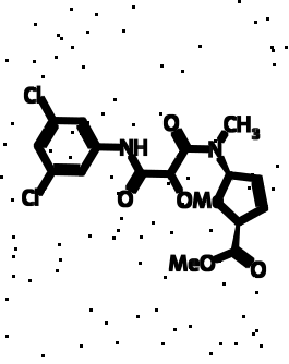 COC(=O)[C@@H]1C=C[C@H](N(C)C(=O)C(OC)C(=O)Nc2cc(Cl)cc(Cl)c2)C1